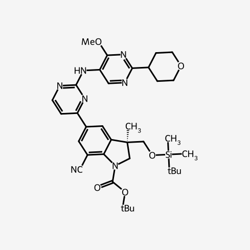 COc1nc(C2CCOCC2)ncc1Nc1nccc(-c2cc(C#N)c3c(c2)[C@@](C)(CO[Si](C)(C)C(C)(C)C)CN3C(=O)OC(C)(C)C)n1